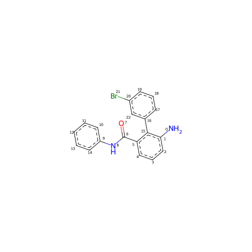 Nc1cccc(C(=O)Nc2ccccc2)c1-c1cccc(Br)c1